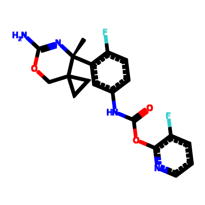 C[C@]1(c2cc(NC(=O)Oc3ncccc3F)ccc2F)N=C(N)OCC12CC2